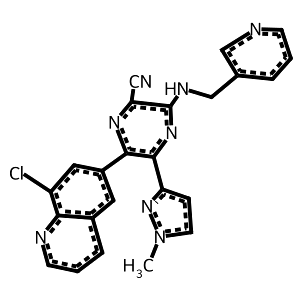 Cn1ccc(-c2nc(NCc3cccnc3)c(C#N)nc2-c2cc(Cl)c3ncccc3c2)n1